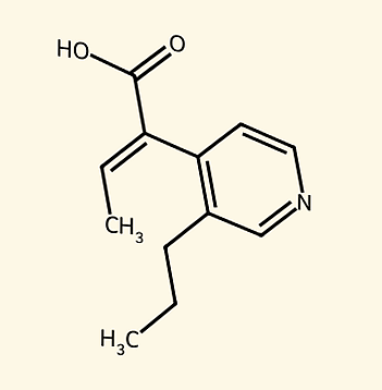 C/C=C(/C(=O)O)c1ccncc1CCC